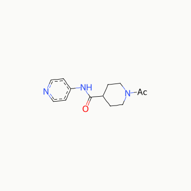 CC(=O)N1CCC(C(=O)Nc2ccncc2)CC1